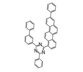 c1ccc(-c2cccc(-c3nc(-c4ccccc4)nc(-c4cccc5c4ccc4c6ccc(-c7ccccc7)cc6ccc54)n3)c2)cc1